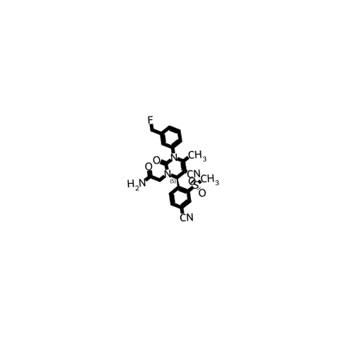 CC1=C(C#N)[C@@H](c2ccc(C#N)cc2S(C)(=O)=O)N(CC(N)=O)C(=O)N1c1cccc(CF)c1